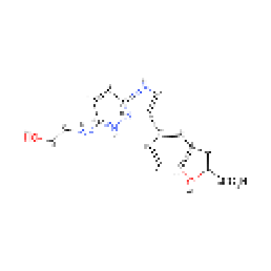 O=C(O)c1cc2cc(-c3cnc4ccc(NCCO)nn34)ccc2o1